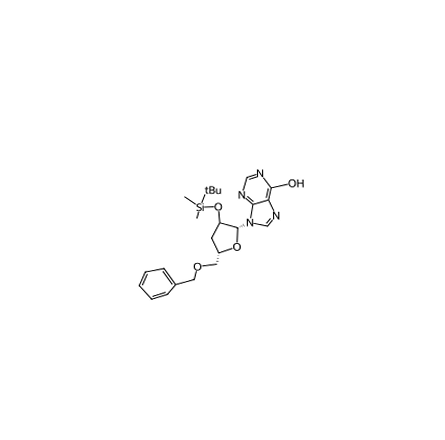 CC(C)(C)[Si](C)(C)OC1C[C@@H](COCc2ccccc2)O[C@H]1n1cnc2c(O)ncnc21